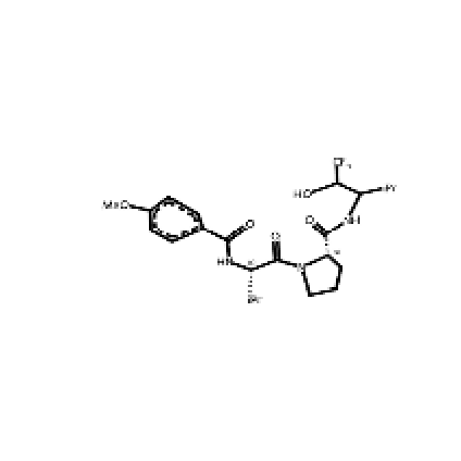 COc1ccc(C(=O)N[C@H](C(=O)N2CCC[C@H]2C(=O)NC(C(C)C)C(O)C(F)(F)F)C(C)C)cc1